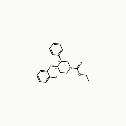 CCOC(=O)N1CC[C@@H](Oc2ccccc2F)[C@@H](c2ccccc2)C1